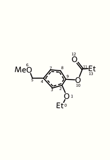 CCOc1cc(COC)ccc1OC(=O)CC